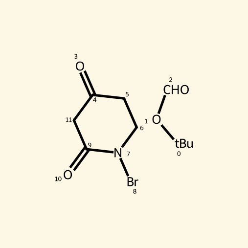 CC(C)(C)OC=O.O=C1CCN(Br)C(=O)C1